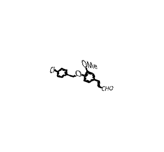 COc1cc(C=CC=O)ccc1OCc1ccc(Cl)cc1